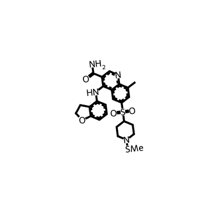 CSN1CCC(S(=O)(=O)c2cc(C)c3ncc(C(N)=O)c(Nc4cccc5c4CCO5)c3c2)CC1